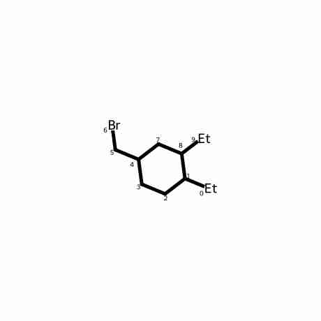 CCC1CCC(CBr)CC1CC